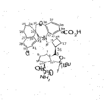 CC(C)(C)[Si](C)(C)OC([C@@H]1CCC[C@H](S(N)(=O)=O)C1)[C@@H]1CC[C@H]1CN1C[C@@]2(CCCc3cc(Cl)ccc32)COc2ccc(C(=O)O)cc21